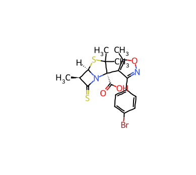 Cc1onc(-c2ccc(Br)cc2)c1[C@@]1(C(=O)O)N2C(=S)[C@@H](C)[C@H]2SC1(C)C